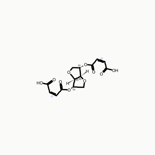 O=C(O)/C=C\C(=O)O[C@H]1CO[C@H]2[C@@H]1OC[C@@H]2OC(=O)/C=C\C(=O)O